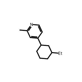 CCC1CCCC(c2ccnc(C)c2)C1